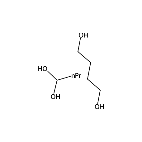 CCCC(O)O.OCCCCO